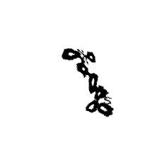 c1ccc(-c2nc(-c3cccc(-c4ccc(-c5ccc6c(c5)C5(CCCCC5)c5ccccc5S6)cc4)c3)c3ccccc3n2)cc1